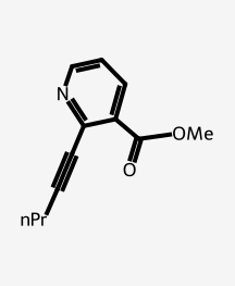 CCCC#Cc1ncccc1C(=O)OC